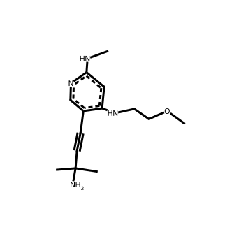 CNc1cc(NCCOC)c(C#CC(C)(C)N)cn1